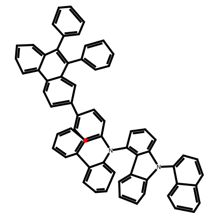 c1ccc(-c2ccccc2N(c2ccc(-c3ccc4c(c3)c(-c3ccccc3)c(-c3ccccc3)c3ccccc34)cc2)c2cccc3c2c2ccccc2n3-c2cccc3ccccc23)cc1